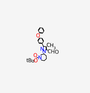 Cc1c(-c2ccc(Oc3ccccc3)cc2)nn(C2CCCCN(C(=O)OC(C)(C)C)C2)c1C=O